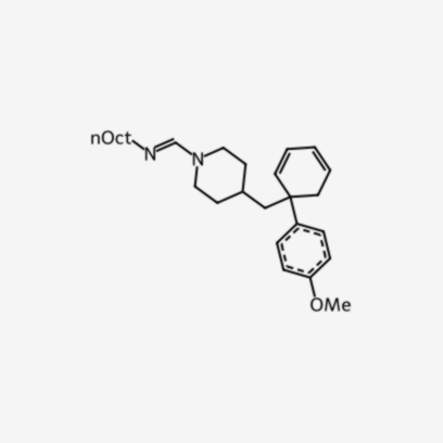 CCCCCCCCN=CN1CCC(CC2(c3ccc(OC)cc3)C=CC=CC2)CC1